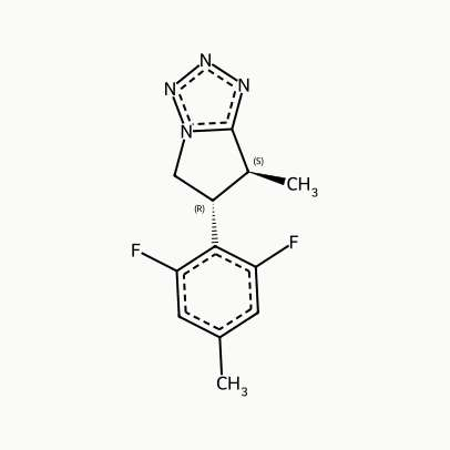 Cc1cc(F)c([C@@H]2Cn3nnnc3[C@H]2C)c(F)c1